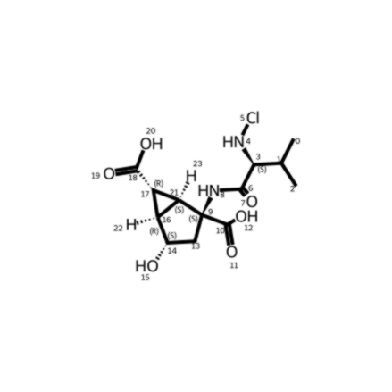 CC(C)[C@H](NCl)C(=O)N[C@@]1(C(=O)O)C[C@H](O)[C@H]2[C@H](C(=O)O)[C@H]21